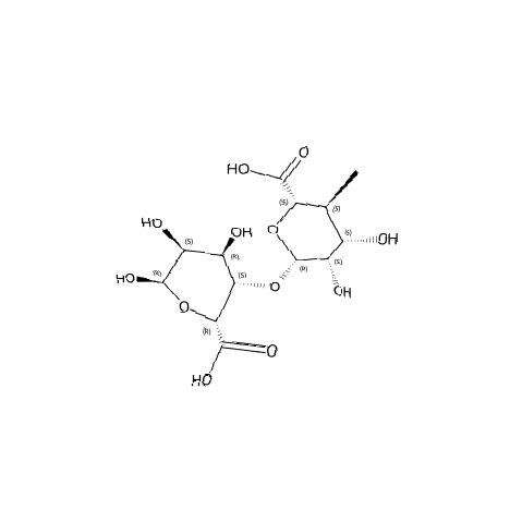 C[C@H]1[C@H](O)[C@H](O)[C@H](O[C@H]2[C@H](O)[C@H](O)[C@H](O)O[C@H]2C(=O)O)O[C@@H]1C(=O)O